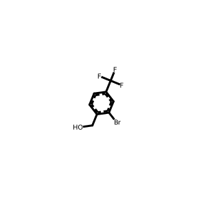 OCc1ccc(C(F)(F)F)cc1Br